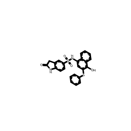 O=C1Cc2cc(S(=O)(=O)Nc3cc(Sc4ccccc4)c(O)c4ccccc34)ccc2N1